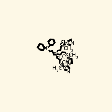 C[Si](C)(CCC[Si](CCCP(c1ccccc1)c1ccccc1)(CCC[Si](C)(C)n1ccnc1)CCC[Si](C)(C)n1ccnc1)n1ccnc1